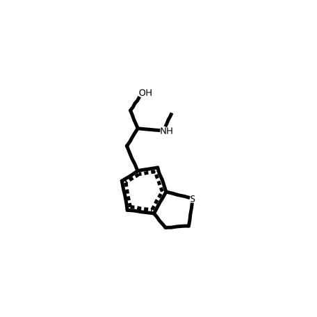 CNC(CO)Cc1ccc2c(c1)SCC2